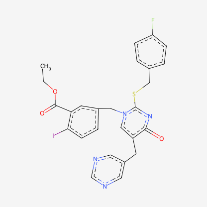 CCOC(=O)c1cc(Cn2cc(Cc3cncnc3)c(=O)nc2SCc2ccc(F)cc2)ccc1I